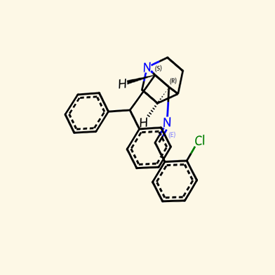 Clc1ccccc1/C=N/[C@@H]1C2CCN(CC2)[C@H]1C(c1ccccc1)c1ccccc1